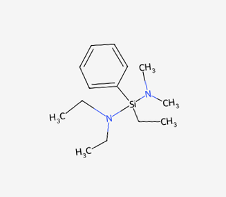 CCN(CC)[Si](CC)(c1ccccc1)N(C)C